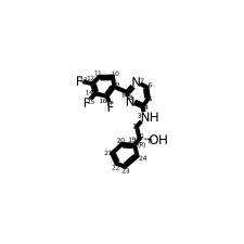 O[C@@H](CNc1ccnc(-c2ccc(F)c(F)c2F)n1)c1ccccc1